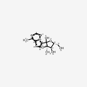 Cc1ncnn2c(C3(O)O[C@H](CO)[C@@H](O)[C@@]3(C)O)cnc12